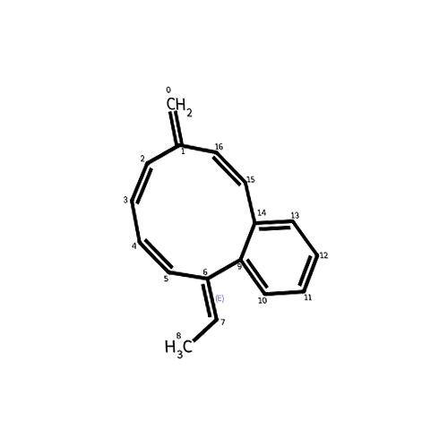 C=c1cccc/c(=C\C)c2ccccc2cc1